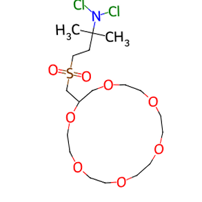 CC(C)(CCS(=O)(=O)CC1COCCOCCOCCOCCOCCO1)N(Cl)Cl